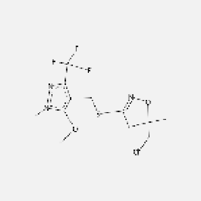 COc1c(CSC2=NOC(C)(CCl)C2)c(C(F)(F)F)nn1C